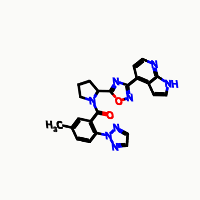 Cc1ccc(-n2nccn2)c(C(=O)N2CCCC2c2nc(-c3ccnc4[nH]ccc34)no2)c1